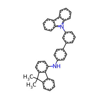 CC1(C)c2ccccc2-c2c(Nc3ccc(-c4cccc(-n5c6ccccc6c6ccccc65)c4)cc3)cccc21